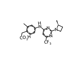 Cc1cc(Nc2cc(C(F)(F)F)nc(N3CC[C@@H]3C)n2)ccc1CC(=O)O